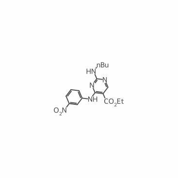 CCCCNc1ncc(C(=O)OCC)c(Nc2cccc([N+](=O)[O-])c2)n1